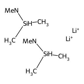 C[N-][SiH](C)C.C[N-][SiH](C)C.[Li+].[Li+]